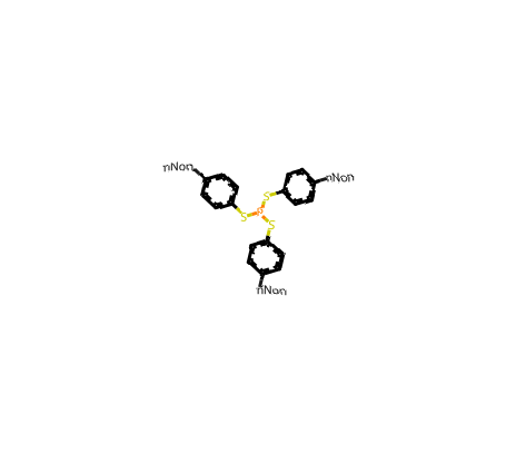 CCCCCCCCCc1ccc(SP(Sc2ccc(CCCCCCCCC)cc2)Sc2ccc(CCCCCCCCC)cc2)cc1